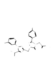 C[C@H](O)c1nc(Cn2nc(-c3ccc(Cl)cc3)n(CC(=O)C(F)(F)F)c2=O)nn1-c1cccc(Cl)c1